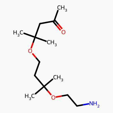 CC(=O)CC(C)(C)OCCC(C)(C)OCCN